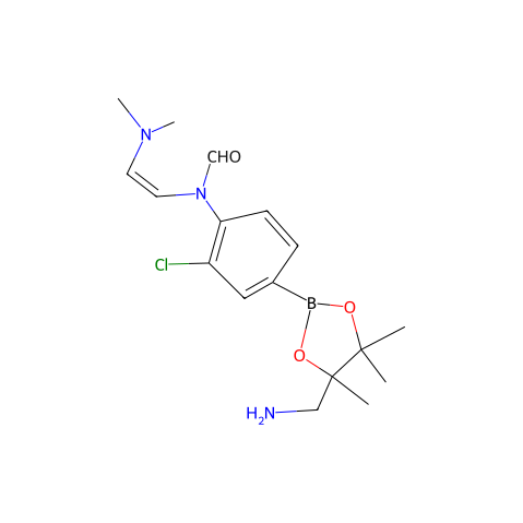 CN(C)/C=C\N(C=O)c1ccc(B2OC(C)(C)C(C)(CN)O2)cc1Cl